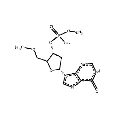 COCC1O[C@@H](n2cnc3c(=O)[nH]cnc32)C[C@H]1OP(=O)(O)OC